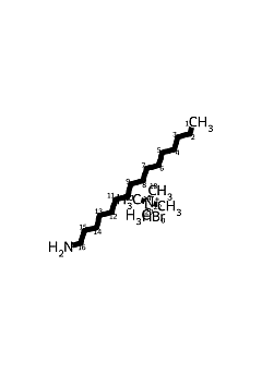 Br.CCCCCCCCCCCCCCCCN.C[N+](C)(C)C